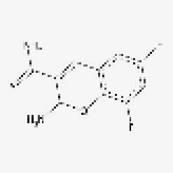 NC(=S)C1=Cc2cc(F)cc(F)c2OC1N